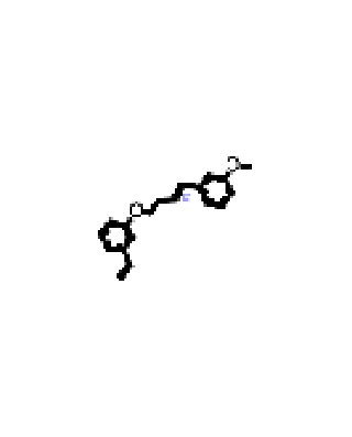 C=Cc1cccc(OCC/C=C/c2cccc(OC)c2)c1